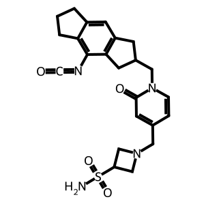 NS(=O)(=O)C1CN(Cc2ccn(CC3Cc4cc5c(c(N=C=O)c4C3)CCC5)c(=O)c2)C1